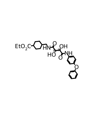 CCOC(=O)C1CCC(CNC(=O)[C@H](O)[C@@H](O)C(=O)Nc2ccc(Oc3ccccc3)cc2)CC1